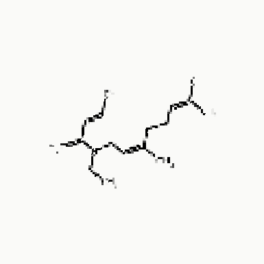 C=C(/C=C/C)N(CC)C/C=C(/C)CCC=C(C)C